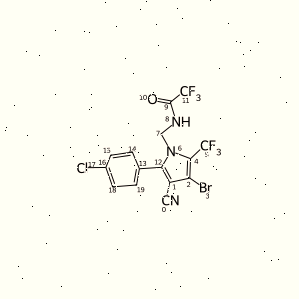 N#Cc1c(Br)c(C(F)(F)F)n(CNC(=O)C(F)(F)F)c1-c1ccc(Cl)cc1